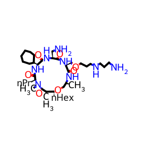 CCCCCC[C@H]1OC[C@H](C)NC(=O)[C@H](COCCCNCCCN)NC(=O)[C@H](CN)NC(=O)[C@H](C2CCCCCC2)NC(=O)[C@H](CCC)N(C)C(=O)[C@@H]1C